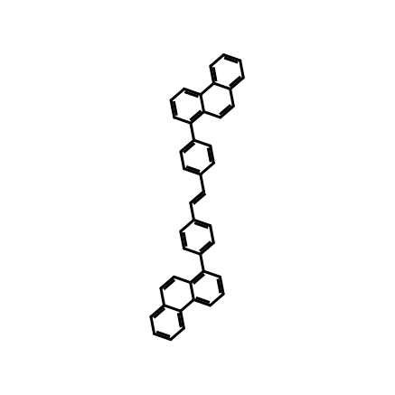 C(=Cc1ccc(-c2cccc3c2ccc2ccccc23)cc1)c1ccc(-c2cccc3c2ccc2ccccc23)cc1